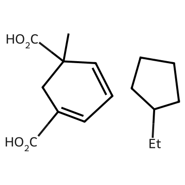 CC1(C(=O)O)C=CC=C(C(=O)O)C1.CCC1CCCC1